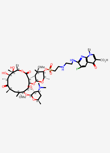 CC[C@H]1OC(=O)[C@H](C)[C@@H](O[C@H]2C[C@@](C)(OC)[C@@H](OS(=O)(=O)CCNCCNc3nc4c(cc3F)c(=O)c(C(=O)O)cn4CC)[C@H](C)O2)[C@H](C)[C@@H](O[C@@H]2O[C@H](C)C[C@H](N(C)C)[C@H]2O)[C@](C)(OC)C[C@@H](C)C(=O)[C@H](C)[C@@H](O)[C@]1(C)O